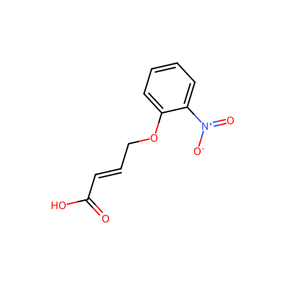 O=C(O)C=CCOc1ccccc1[N+](=O)[O-]